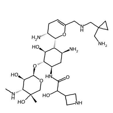 CN[C@@H]1[C@@H](O)[C@@H](O[C@H]2[C@H](NC(=O)C(O)C3CNC3)C[C@H](N)C([C@H]3OC(CNCC4(CN)CC4)=CC[C@H]3N)[C@@H]2O)OC[C@]1(C)O